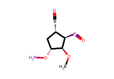 BO[C@@H]1[C@H](P=O)[C@@H](B=O)C[C@H]1OP